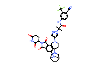 CC(C)(C(=O)Nc1ccc(C#N)c(C(F)(F)F)c1)n1cc(N2CCC(N3CC4CCC(C3)N(c3ccc5c(c3)C(=O)N(C3CCC(=O)NC3=O)C5=O)C4)CC2)cn1